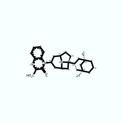 O=C(O)c1nc2ccccc2n(C2CC3CC[C@@]4([C@H]5C[C@@H]6CCC[C@@H](C6)C5)CC(C2)N34)c1=O